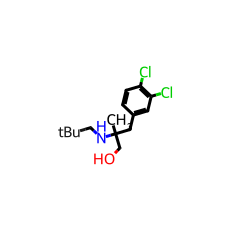 CC(C)(C)CNC(C)(CO)Cc1ccc(Cl)c(Cl)c1